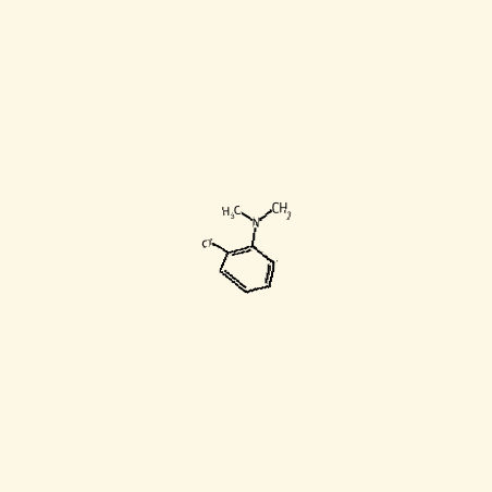 CN(C)c1[c]cccc1Cl